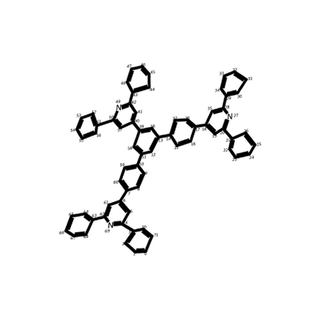 c1ccc(-c2cc(-c3ccc(-c4cc(-c5ccc(-c6cc(-c7ccccc7)nc(-c7ccccc7)c6)cc5)cc(-c5cc(-c6ccccc6)nc(-c6ccccc6)c5)c4)cc3)cc(-c3ccccc3)n2)cc1